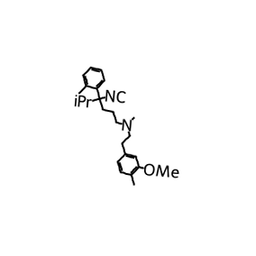 [C-]#[N+]C(CCCN(C)CCc1ccc(C)c(OC)c1)(c1ccccc1C)C(C)C